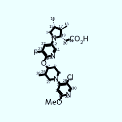 COc1cc(N2CCC(Oc3ncc(N4C[C@H](C)[C@@H](C)[C@@H]4CC(=O)O)cc3F)C(C)C2)c(Cl)cn1